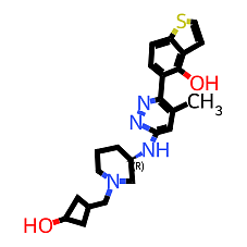 Cc1cc(N[C@@H]2CCCN(CC3CC(O)C3)C2)nnc1-c1ccc2sccc2c1O